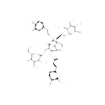 Cc1ccc(/C=C/C(=O)O[C@@H]2C(CO[C@@H]3OC(CO)[C@@H](O)C(O)C3O)O[C@@H](OCCc3ccc(O)c(O)c3)[C@]3(/C=C\C[C@@H]4OC(C)[C@H](O)C(O)C4O)COC2C3O)cc1O